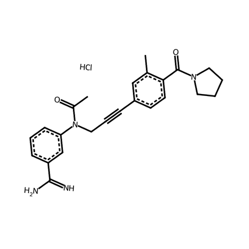 CC(=O)N(CC#Cc1ccc(C(=O)N2CCCC2)c(C)c1)c1cccc(C(=N)N)c1.Cl